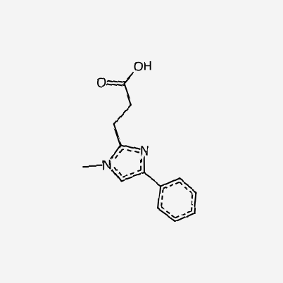 Cn1cc(-c2ccccc2)nc1CCC(=O)O